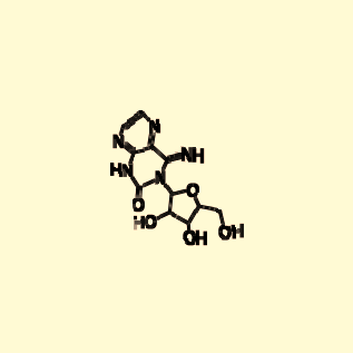 N=c1c2nccnc2[nH]c(=O)n1C1OC(CO)C(O)C1O